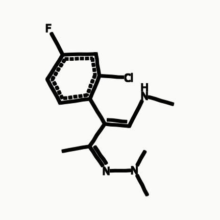 CN/C=C(/C(C)=N\N(C)C)c1ccc(F)cc1Cl